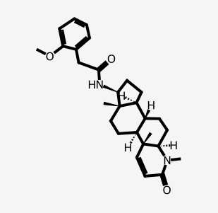 COc1ccccc1CC(=O)N[C@H]1CC[C@H]2[C@@H]3CC[C@H]4N(C)C(=O)C=C[C@]4(C)[C@H]3CC[C@]12C